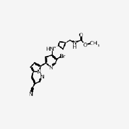 COC(=O)NC[C@H]1C[C@H](Nc2cc(-c3ccc4cc(C#N)cnn34)ncc2Br)C1